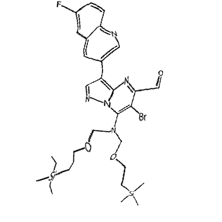 C[Si](C)(C)CCOCN(COCC[Si](C)(C)C)c1c(Br)c(C=O)nc2c(-c3cnc4ccc(F)cc4c3)cnn12